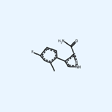 Cc1cc(F)ccc1-c1c[nH]nc1C(N)=O